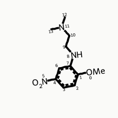 COc1ccc([N+](=O)[O-])cc1NCCN(C)C